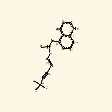 CN(C/C=C/C#CC(C)(C)C)Cc1cccc2ncccc12